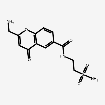 NCc1cc(=O)c2cc(C(=O)NCCS(N)(=O)=O)ccc2o1